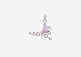 CCOc1ccccc1C1(NC(=O)N2CC3(C2)CN(C2CCN(C4COC4)CC2)C3)C(=O)N(S(=O)(=O)c2ccc(OC)cc2)c2ccc(C#N)cc21